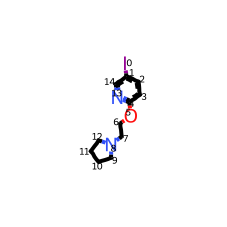 Ic1ccc(OCCN2CCCC2)nc1